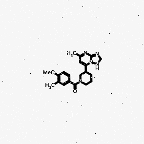 COc1ccc(C(=O)N2CCCC(C3=CC(C)=NC4=NCNN34)C2)cc1C